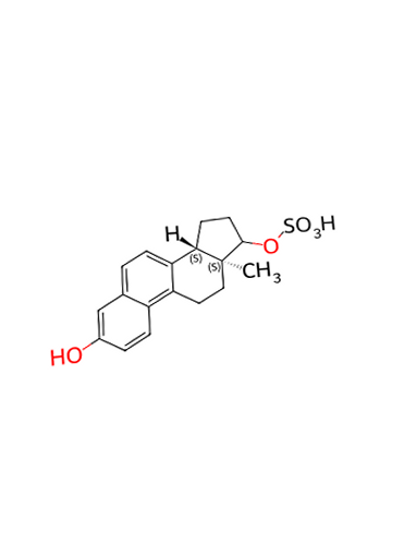 C[C@]12CCc3c(ccc4cc(O)ccc34)[C@@H]1CCC2OS(=O)(=O)O